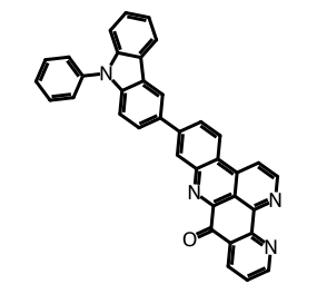 O=C1c2cccnc2-c2nccc3c2c1nc1cc(-c2ccc4c(c2)c2ccccc2n4-c2ccccc2)ccc13